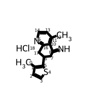 Cc1ccsc1C1CC(=N)c2c(C)ccnc2C1.Cl